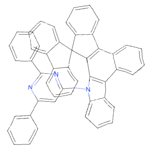 c1ccc(-c2cc(-n3c4ccccc4c4c5ccccc5c5c(c43)C3(c4ccccc4-c4ccccc43)c3ccccc3-5)nc(-c3ccccc3)n2)cc1